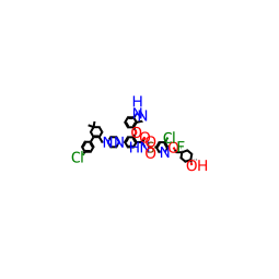 CC1(C)CCC(CN2CCN(c3ccc(C(=O)NS(=O)(=O)c4cnc(OC[C@]5(F)CC[C@](C)(O)CC5)c(Cl)c4)c(Oc4cccc5[nH]ncc45)c3)CC2)=C(c2ccc(Cl)cc2)C1